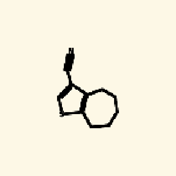 N#Cc1csc2c1CCCCC2